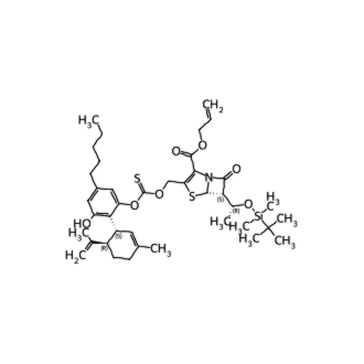 C=CCOC(=O)C1=C(COC(=S)Oc2cc(CCCCC)cc(O)c2[C@@H]2C=C(C)CC[C@H]2C(=C)C)SC2[C@@H]([C@@H](C)O[Si](C)(C)C(C)(C)C)C(=O)N12